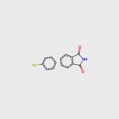 O=C1NC(=O)c2ccccc21.Sc1ccccc1